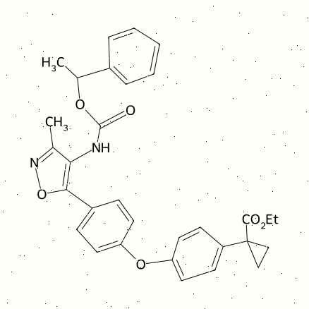 CCOC(=O)C1(c2ccc(Oc3ccc(-c4onc(C)c4NC(=O)OC(C)c4ccccc4)cc3)cc2)CC1